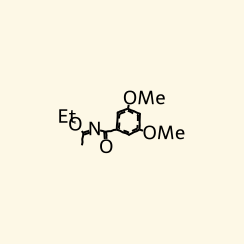 CCO/C(C)=N/C(=O)c1cc(OC)cc(OC)c1